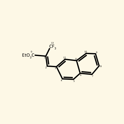 CCOC(=O)C(=Cc1ccc2ccccc2c1)C(F)(F)F